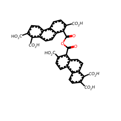 O=C(O)c1ccc2c(ccc3c(C(=O)OC(=O)c4c(C(=O)O)ccc5c4ccc4c(C(=O)O)c(C(=O)O)ccc45)c(C(=O)O)ccc32)c1C(=O)O